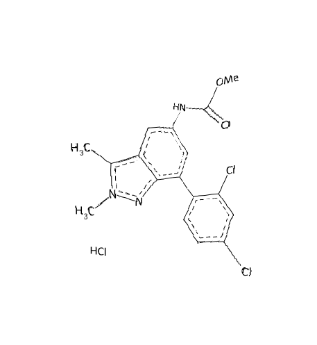 COC(=O)Nc1cc(-c2ccc(Cl)cc2Cl)c2nn(C)c(C)c2c1.Cl